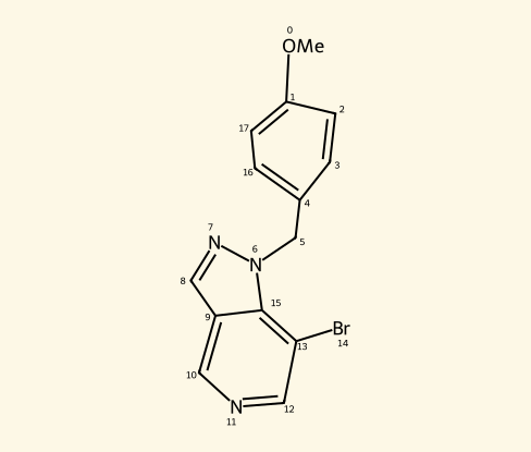 COc1ccc(Cn2ncc3cncc(Br)c32)cc1